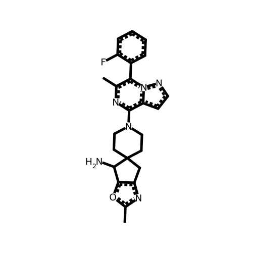 Cc1nc2c(o1)C(N)C1(CCN(c3nc(C)c(-c4ccccc4F)n4nccc34)CC1)C2